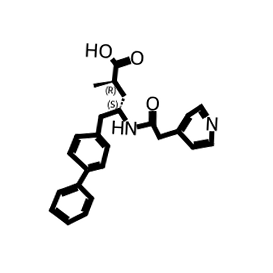 C[C@H](C[C@@H](Cc1ccc(-c2ccccc2)cc1)NC(=O)Cc1ccncc1)C(=O)O